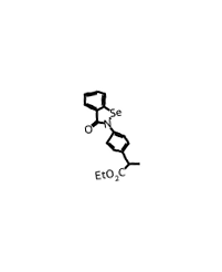 CCOC(=O)C(C)c1ccc(-n2[se]c3ccccc3c2=O)cc1